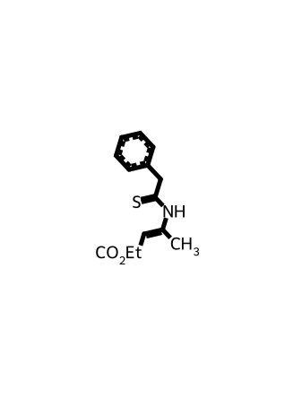 CCOC(=O)C=C(C)NC(=S)Cc1ccccc1